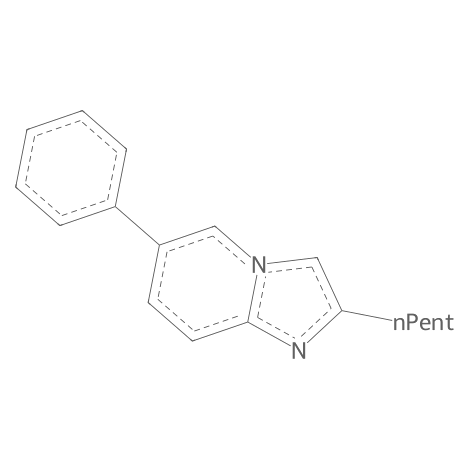 CCCCCc1cn2cc(-c3ccccc3)ccc2n1